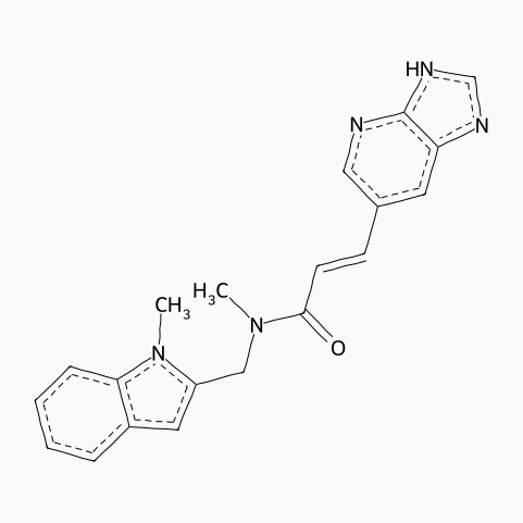 CN(Cc1cc2ccccc2n1C)C(=O)C=Cc1cnc2[nH]cnc2c1